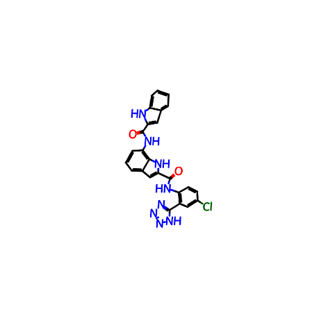 O=C(Nc1cccc2cc(C(=O)Nc3ccc(Cl)cc3-c3nnn[nH]3)[nH]c12)c1cc2ccccc2[nH]1